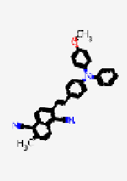 COc1ccc(N(c2ccccc2)c2ccc(C=Cc3ccc4c(C#N)c(C)ccc4c3C#N)cc2)cc1